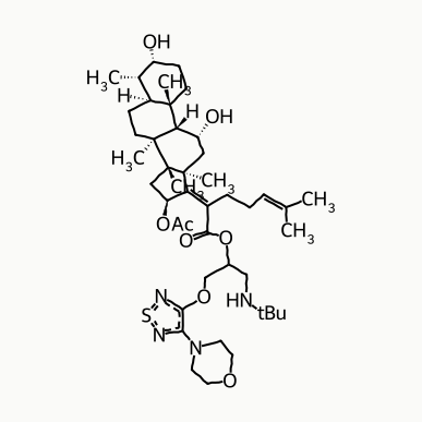 CC(=O)O[C@H]1C[C@@]2(C)[C@@](C)(C[C@@H](O)[C@H]3[C@@]4(C)CC[C@@H](O)[C@@H](C)[C@@H]4CC[C@@]32C)/C1=C(\CCC=C(C)C)C(=O)OC(CNC(C)(C)C)COc1nsnc1N1CCOCC1